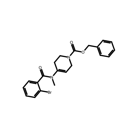 CN(C(=O)c1ccccc1Br)C1=CCN(C(=O)OCc2ccccc2)CC1